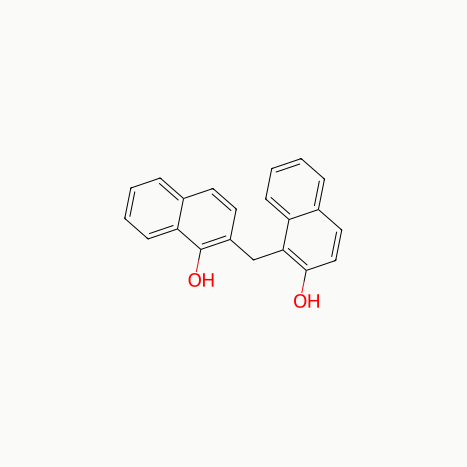 Oc1ccc2ccccc2c1Cc1ccc2ccccc2c1O